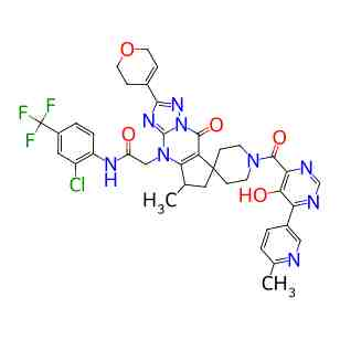 Cc1ccc(-c2ncnc(C(=O)N3CCC4(CC3)CC(C)c3c4c(=O)n4nc(C5=CCOCC5)nc4n3CC(=O)Nc3ccc(C(F)(F)F)cc3Cl)c2O)cn1